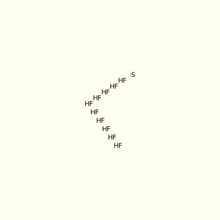 F.F.F.F.F.F.F.F.F.F.[S]